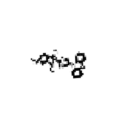 COc1ccc2c(c1)C(=O)N(c1ncc(N3c4ccccc4Sc4ccccc43)cn1)C2=O